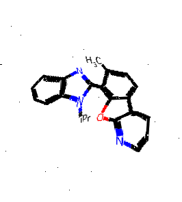 Cc1ccc2c(oc3ncccc32)c1-c1nc2ccccc2n1C(C)C